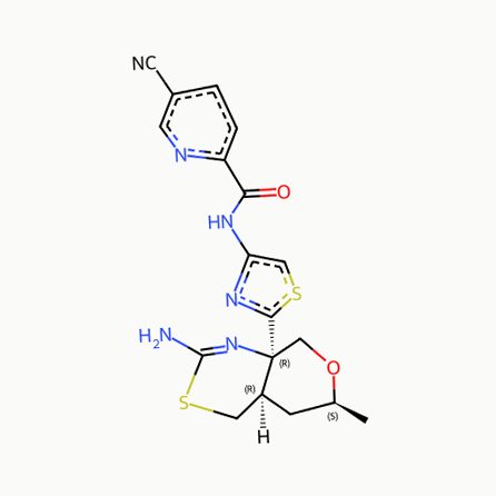 C[C@H]1C[C@H]2CSC(N)=N[C@@]2(c2nc(NC(=O)c3ccc(C#N)cn3)cs2)CO1